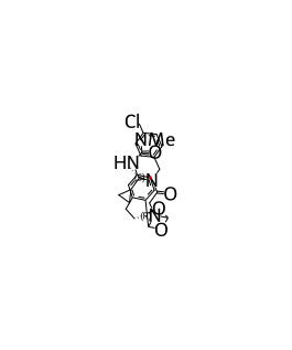 CNC(=O)Nc1ccc2c(c1)CC[C@@]21OC2OC1N2CC(=O)N(Cc1ccc(Cl)cc1)[C@@H](C)C1CC1